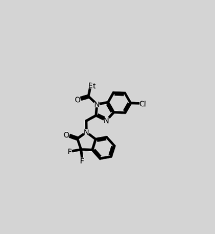 CCC(=O)n1c(CN2C(=O)C(F)(F)c3ccccc32)nc2cc(Cl)ccc21